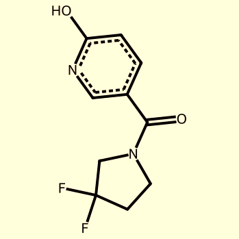 O=C(c1ccc(O)nc1)N1CCC(F)(F)C1